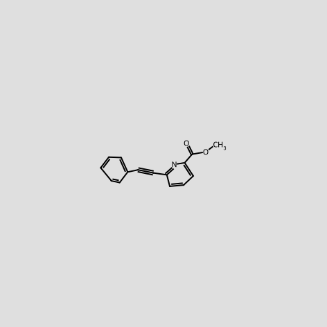 COC(=O)c1cccc(C#Cc2ccccc2)n1